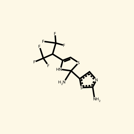 Nc1ncc(C2(N)NC(C(C(F)(F)F)C(F)(F)F)=CS2)s1